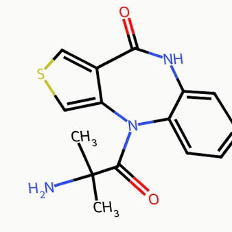 CC(C)(N)C(=O)N1c2ccccc2NC(=O)c2cscc21